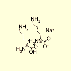 NCCCC[C@H](N)C(=O)O.NCCCC[C@H](N)C(=O)[O-].[Na+]